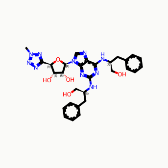 Cn1nnc([C@H]2O[C@@H](n3cnc4c(N[C@H](CO)Cc5ccccc5)nc(N[C@H](CO)Cc5ccccc5)nc43)[C@H](O)[C@@H]2O)n1